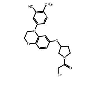 COc1ncc(N2CCOc3ccc(OC4CCN(C(=O)CC(C)C)C4)cc32)cc1C#N